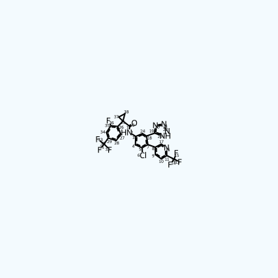 O=C(Nc1cc(Cl)c(-c2ccc(C(F)(F)F)nc2)c(-c2nnn[nH]2)c1)C1(c2ccc(C(F)(F)F)cc2F)CC1